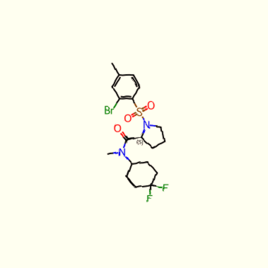 Cc1ccc(S(=O)(=O)N2CCC[C@H]2C(=O)N(C)C2CCC(F)(F)CC2)c(Br)c1